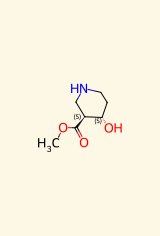 COC(=O)[C@H]1CNCC[C@@H]1O